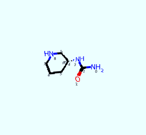 NC(=O)N[C@@H]1CCCNC1